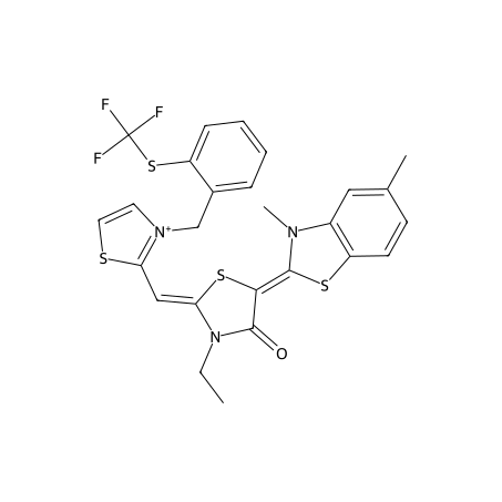 CCn1c(=O)/c(=C2\Sc3ccc(C)cc3N2C)s/c1=C\c1scc[n+]1Cc1ccccc1SC(F)(F)F